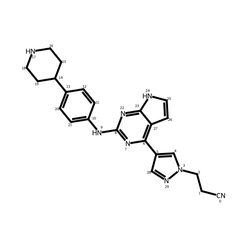 N#CCCn1cc(-c2nc(Nc3ccc(C4CCNCC4)cc3)nc3[nH]ccc23)cn1